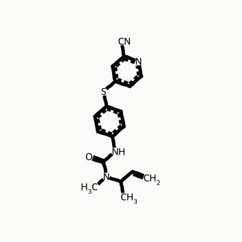 C=CC(C)N(C)C(=O)Nc1ccc(Sc2ccnc(C#N)c2)cc1